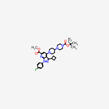 COC(=O)c1cc(N2CCC(N3CCN(C(=O)OC(C)(C)C)CC3)CC2)c2c(C3CCC3)nn(-c3ccc(F)cc3)c2n1